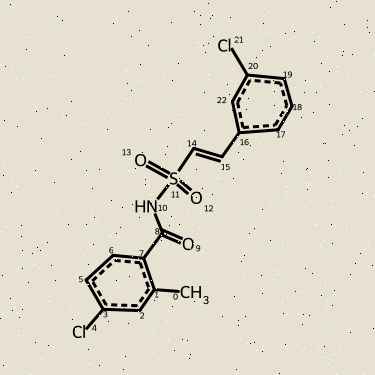 Cc1cc(Cl)ccc1C(=O)NS(=O)(=O)C=Cc1cccc(Cl)c1